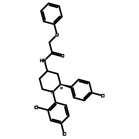 O=C(COc1ccccc1)NC1CCN(c2ccc(Cl)cc2Cl)[C@H](c2ccc(Cl)cc2)C1